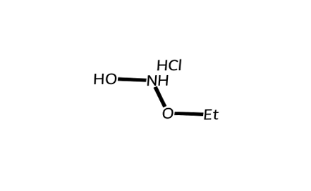 CCONO.Cl